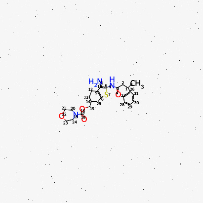 CC(CC(=O)Nc1sc2c(c1N)CCC(COC(=O)N1CCOCC1)C2)c1ccccc1